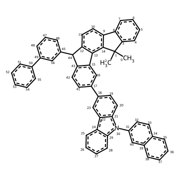 CC1(C)c2ccccc2-c2ccc3c(c21)-c1cc(-c2ccc4c(c2)c2ccccc2n4-c2ccc4ccccc4c2)ccc1C3c1cccc(-c2ccccc2)c1